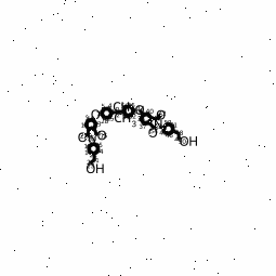 CC(C)(c1ccc(Oc2ccc3c(c2)C(=O)N(c2ccc(CCO)cc2)C3=O)cc1)c1ccc(Oc2ccc3c(c2)C(=O)N(c2ccc(CCO)cc2)C3=O)cc1